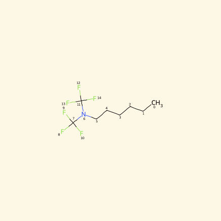 CCCCCCN(C(F)(F)F)C(F)(F)F